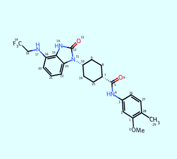 COc1cc(NC(=O)[C@H]2CC[C@@H](n3c(=O)[nH]c4c(NCC(F)(F)F)cccc43)CC2)ccc1C